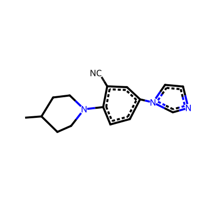 CC1CCN(c2ccc(-n3ccnc3)cc2C#N)CC1